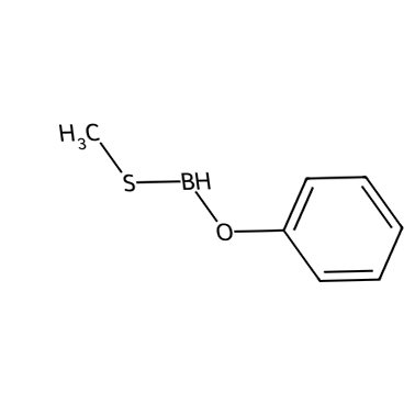 CSBOc1ccccc1